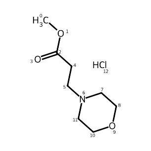 COC(=O)CCN1CCOCC1.Cl